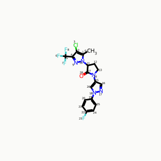 Cc1c(Cl)c(C(F)(F)F)nn1C1CCN(c2cnn(-c3ccc(F)cc3)c2)C1=O